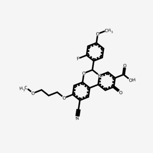 COCCCOc1cc2c(cc1C#N)-c1cc(=O)c(C(=O)O)cn1C(c1ccc(OC)cc1F)O2